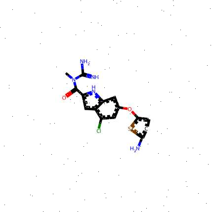 CN(C(=N)N)C(=O)c1cc2c(Cl)cc(Oc3ccc(N)s3)cc2[nH]1